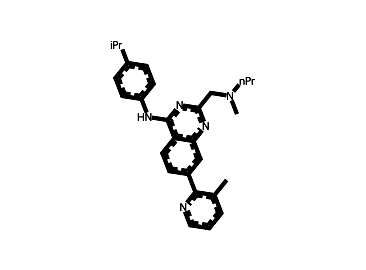 CCCN(C)Cc1nc(Nc2ccc(C(C)C)cc2)c2ccc(-c3ncccc3C)cc2n1